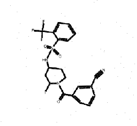 N#Cc1cccc(C(=O)N2CCC(NS(=O)(=O)c3ccccc3C(F)(F)F)CC2I)c1